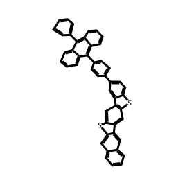 c1ccc(-c2c3ccccc3c(-c3ccc(-c4ccc5sc6cc7c(cc6c5c4)sc4cc5ccccc5cc47)cc3)c3ccccc23)cc1